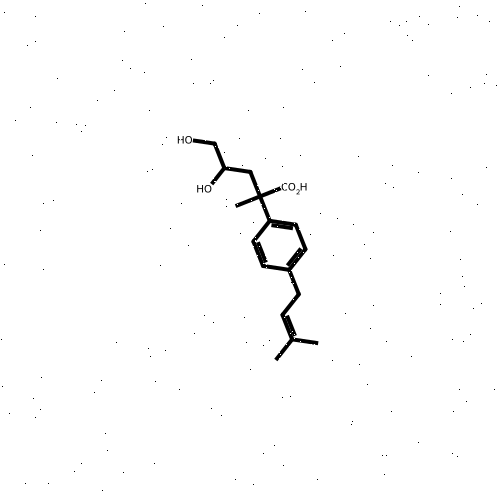 CC(C)=CCc1ccc(C(C)(CC(O)CO)C(=O)O)cc1